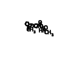 CNC(=O)[C@H]1CC(=O)N(c2ccc(OCc3ccccc3OC)cc2)C1